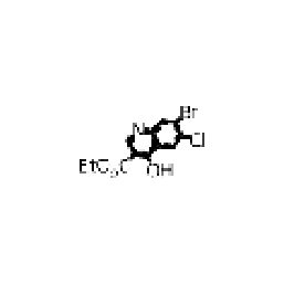 CCOC(=O)c1cnc2cc(Br)c(Cl)cc2c1O